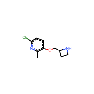 Cc1nc(Cl)ccc1OC[C@@H]1CCN1